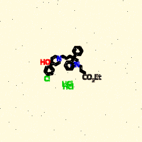 CCOC(=O)CCCNCC(CCCN1CCC(O)(c2ccc(Cl)cc2)CC1)(c1ccccc1)c1ccccc1.Cl.Cl